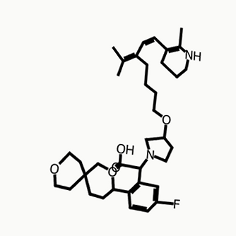 CC(C)=C(/C=C\C1=C(C)NCCC1)CCCCOC1CCN(C(C(=O)O)c2cc(F)ccc2C2CCC3(CCOCC3)CO2)C1